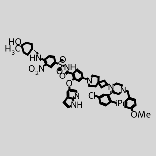 COc1ccc(CN2CCN(C3CC4(CCN(c5ccc(C(=O)NS(=O)(=O)c6ccc(NC[C@H]7CC[C@](C)(O)CC7)c([N+](=O)[O-])c6)c(Oc6cnc7[nH]ccc7c6)c5)CC4)C3)[C@H](c3cc(Cl)ccc3C(C)C)C2)cc1